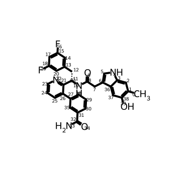 Cc1cc2[nH]cc(CC(=O)N[C@@H](Cc3cc(F)cc(F)c3)c3ncccc3-c3cccc(C(N)=O)c3)c2cc1O